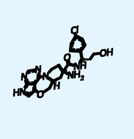 N[C@]1(C(=O)N[C@@H](CCO)c2ccc(Cl)cc2)CCN2c3ncnc4[nH]cc(c34)OC[C@H]2C1